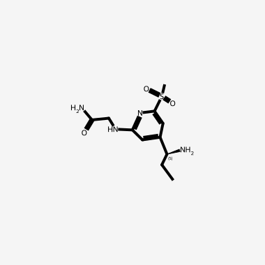 CC[C@H](N)c1cc(NCC(N)=O)nc(S(C)(=O)=O)c1